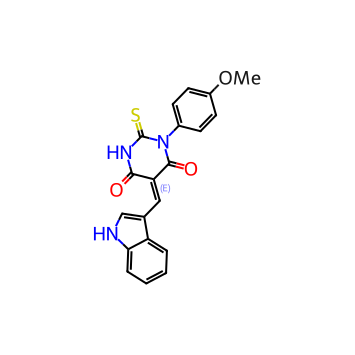 COc1ccc(N2C(=O)/C(=C/c3c[nH]c4ccccc34)C(=O)NC2=S)cc1